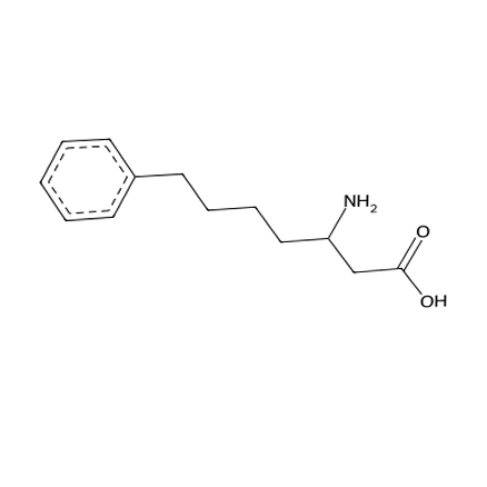 NC(CCCCc1ccccc1)CC(=O)O